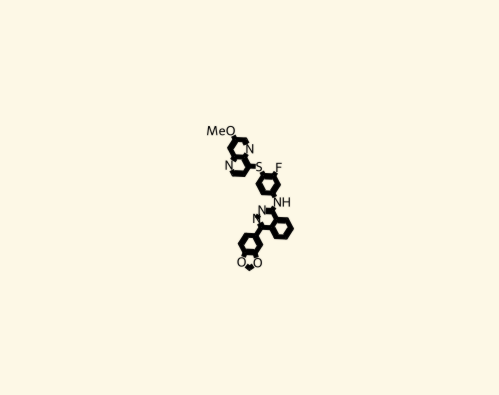 COc1cnc2c(Sc3ccc(Nc4nnc(-c5ccc6c(c5)OCO6)c5ccccc45)cc3F)ccnc2c1